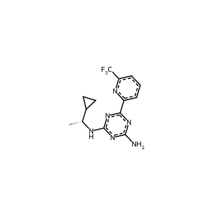 C[C@@H](Nc1nc(N)nc(-c2cccc(C(F)(F)F)n2)n1)C1CC1